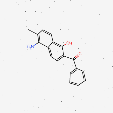 Cc1ccc2c(O)c(C(=O)c3ccccc3)ccc2c1N